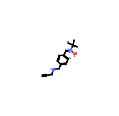 C#CCNCc1ccc(/C=[N+](\O)C(C)(C)C)cc1